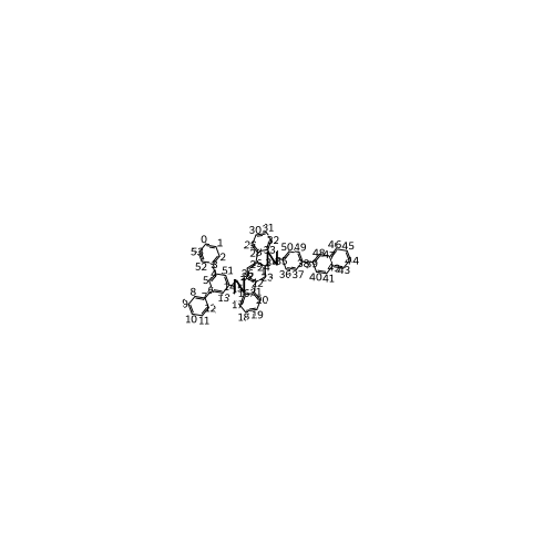 c1ccc(-c2cc(-c3ccccc3)cc(-n3c4ccccc4c4cc5c(cc43)c3ccccc3n5-c3ccc(-c4ccc5ccccc5c4)cc3)c2)cc1